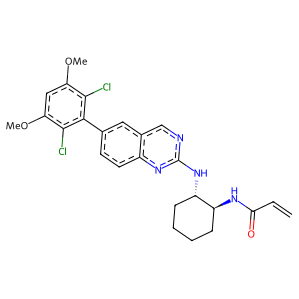 C=CC(=O)N[C@H]1CCCC[C@@H]1Nc1ncc2cc(-c3c(Cl)c(OC)cc(OC)c3Cl)ccc2n1